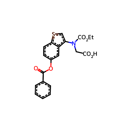 CCOC(=O)N(CC(=O)O)c1csc2ccc(OC(=O)c3ccccc3)cc12